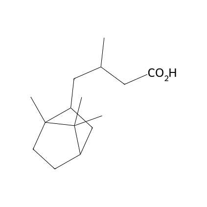 CC(CC(=O)O)CC1CC2CCC1(C)C2(C)C